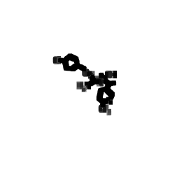 CC(c1ccc(C(F)(F)F)nc1)[SH](C)(O)=NC(N)=NOCc1ccc(Cl)cc1